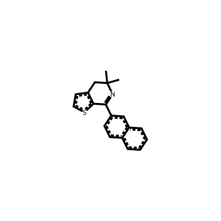 CC1(C)Cc2ccsc2C(c2ccc3ccccc3c2)=N1